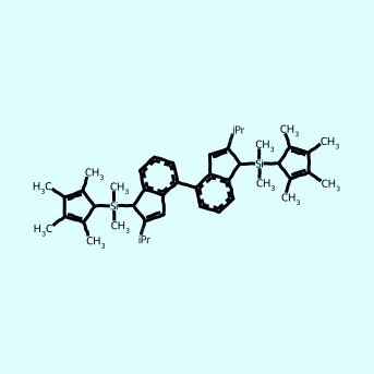 CC1=C(C)C([Si](C)(C)C2C(C(C)C)=Cc3c(-c4cccc5c4C=C(C(C)C)C5[Si](C)(C)C4C(C)=C(C)C(C)=C4C)cccc32)C(C)=C1C